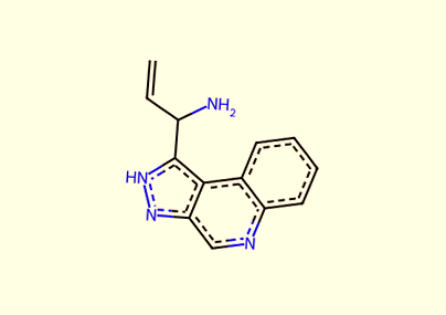 C=CC(N)c1[nH]nc2cnc3ccccc3c12